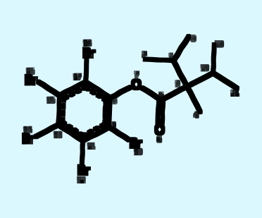 CC(C)C(C)(C(=O)Oc1c(Br)c(Br)c(Br)c(Br)c1Br)C(C)C